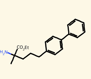 CCOC(=O)C(C)(N)CCCc1ccc(-c2ccccc2)cc1